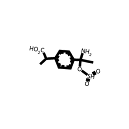 CC(C(=O)O)c1ccc(C(C)(N)O[SH](=O)=O)cc1